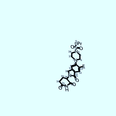 CCCS(=O)(=O)N1CCN(c2cc3c(cc2F)C(=O)N(C2CCC(=O)NC2=O)C3)CC1